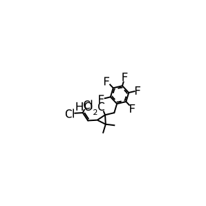 CC1(C)C(C=C(Cl)Cl)C1(Cc1c(F)c(F)c(F)c(F)c1F)C(=O)O